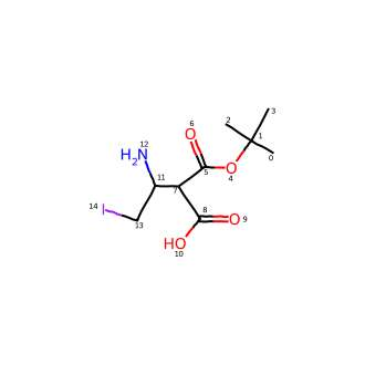 CC(C)(C)OC(=O)C(C(=O)O)C(N)CI